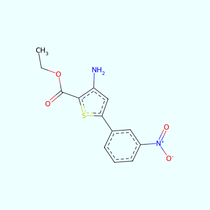 CCOC(=O)c1sc(-c2cccc([N+](=O)[O-])c2)cc1N